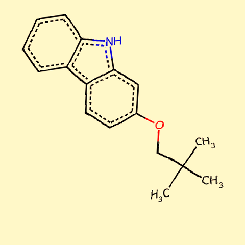 CC(C)(C)COc1ccc2c(c1)[nH]c1ccccc12